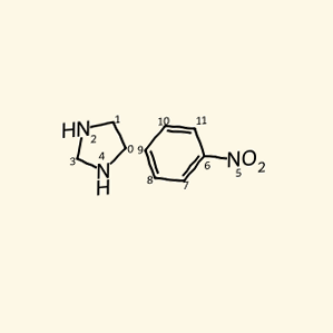 C1CNCN1.O=[N+]([O-])c1ccccc1